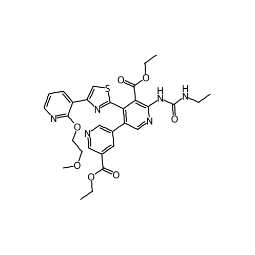 CCNC(=O)Nc1ncc(-c2cncc(C(=O)OCC)c2)c(-c2nc(-c3cccnc3OCCOC)cs2)c1C(=O)OCC